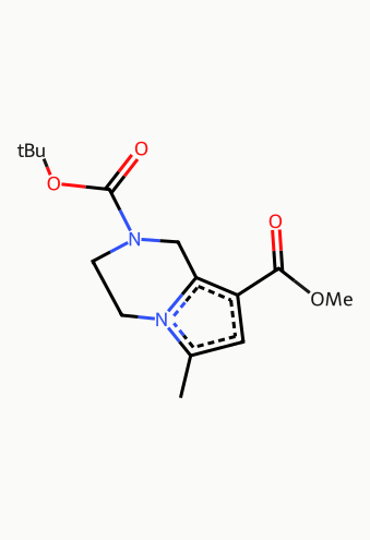 COC(=O)c1cc(C)n2c1CN(C(=O)OC(C)(C)C)CC2